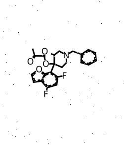 CC(=O)C(=O)OC1(c2c(F)cc(F)c3ccoc23)CCN(Cc2ccccc2)CC1C